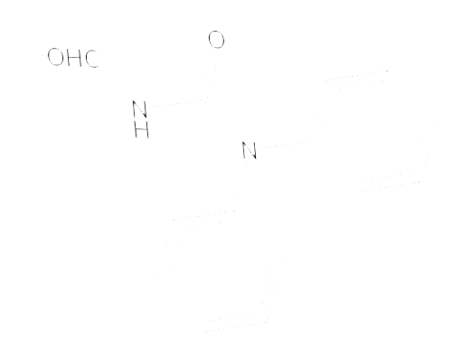 O=[C]NC(=O)N(c1ccccc1)c1ccccc1